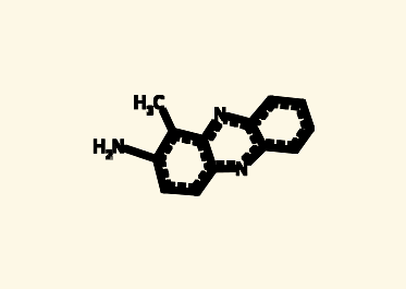 Cc1c(N)ccc2nc3ccccc3nc12